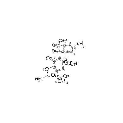 CCOc1c(S(C)(=O)=O)ccc(C(=O)c2c(C(=O)O)cc(C)cc2C(=O)O)c1Cl